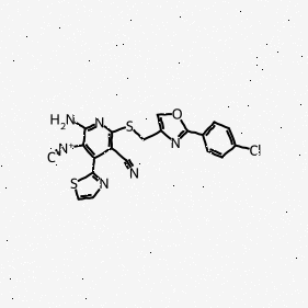 [C-]#[N+]c1c(N)nc(SCc2coc(-c3ccc(Cl)cc3)n2)c(C#N)c1-c1nccs1